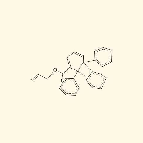 C=CCOC(=O)C1=CC=CC(c2ccccc2)(c2ccccc2)C1(C)c1ccccc1